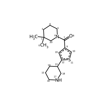 CC1(C)CCCN(C(=O)c2csc(C3CCCNC3)c2)C1